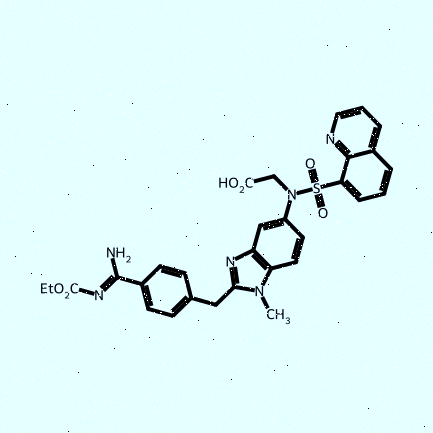 CCOC(=O)N=C(N)c1ccc(Cc2nc3cc(N(CC(=O)O)S(=O)(=O)c4cccc5cccnc45)ccc3n2C)cc1